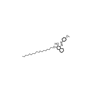 CCCCCCCCCCCCCCCCCCOc1cc2ccccc2c(N=Nc2ccc(OC)cc2)c1O